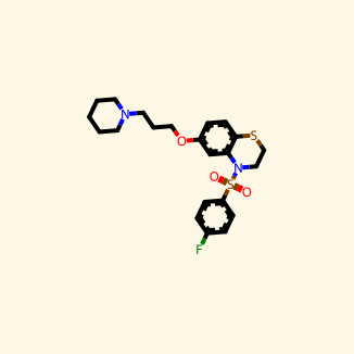 O=S(=O)(c1ccc(F)cc1)N1CCSc2ccc(OCCCN3CCCCC3)cc21